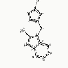 CCCc1ccn(Cc2c(C(C)C)[nH]c3ncccc23)c1